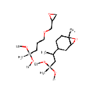 CCO[Si](C)(CC(C)C1CCC2(C)OC2C1)OCC.CCO[Si](C)(CCCOCC1CO1)OCC